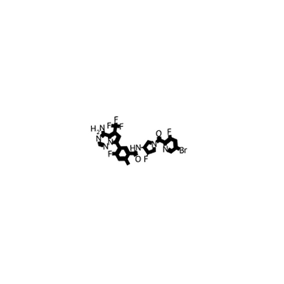 Cc1cc(F)c(-c2cc(C(F)(F)F)c3c(N)ncnn23)cc1C(=O)N[C@@H]1CN(C(=O)c2ncc(Br)cc2F)C[C@@H]1F